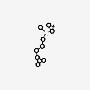 CC1(C)c2ccccc2-c2c(-c3nc(-c4ccccc4)nc(-c4ccc5c(c4)sc4ccc(-c6cccc(-c7ccc8c9ccccc9c9ccccc9c8c7)c6)cc45)n3)cccc21